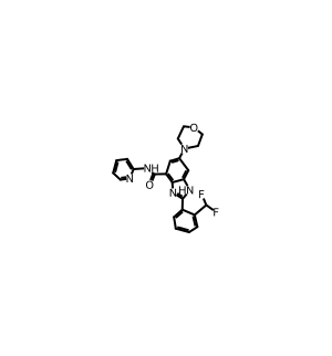 O=C(Nc1ccccn1)c1cc(N2CCOCC2)cc2[nH]c(-c3ccccc3C(F)F)nc12